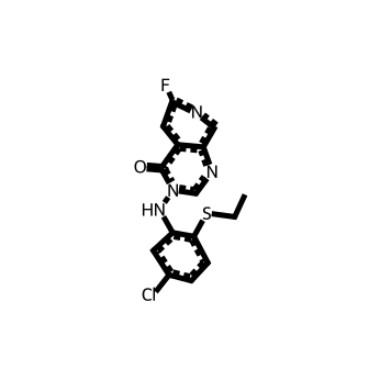 CCSc1ccc(Cl)cc1Nn1cnc2cnc(F)cc2c1=O